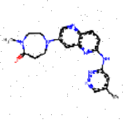 CC(C)c1cnnc(Nc2ccc3ncc(N4CCC(=O)N(C)CC4)cc3n2)c1